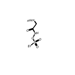 CCCCCCCC(=O)NOS(=O)(=O)CC